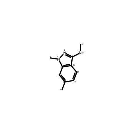 CNc1nn(C)c2cc(C)ccc12